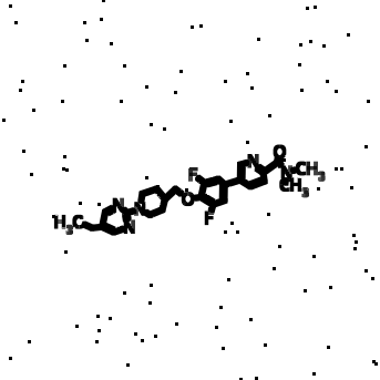 CCc1cnc(N2CCC(COc3c(F)cc(-c4ccc(C(=O)N(C)C)nc4)cc3F)CC2)nc1